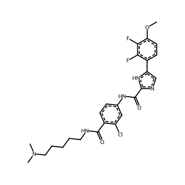 COc1ccc(-c2cnc(C(=O)Nc3ccc(C(=O)NCCCCCN(C)C)c(Cl)c3)[nH]2)c(F)c1F